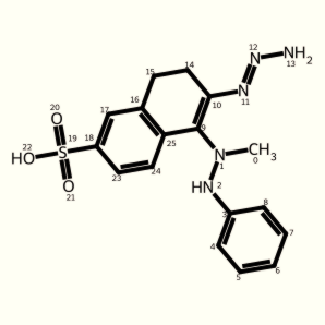 CN(Nc1ccccc1)C1=C(N=NN)CCc2cc(S(=O)(=O)O)ccc21